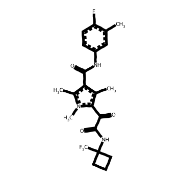 Cc1cc(NC(=O)c2c(C)c(C(=O)C(=O)NC3(C(F)(F)F)CCC3)n(C)c2C)ccc1F